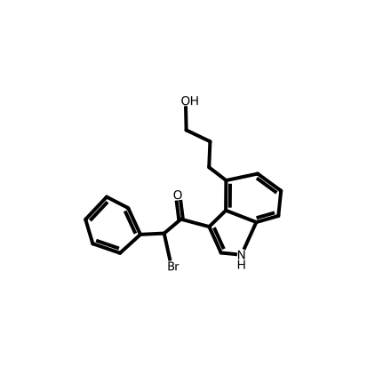 O=C(c1c[nH]c2cccc(CCCO)c12)C(Br)c1ccccc1